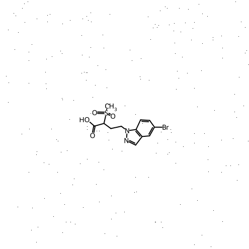 CS(=O)(=O)C(CCn1ncc2cc(Br)ccc21)C(=O)O